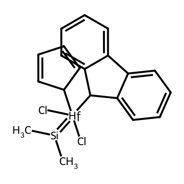 C[Si](C)=[Hf]([Cl])([Cl])([CH]1C=CC=C1)[CH]1c2ccccc2-c2ccccc21